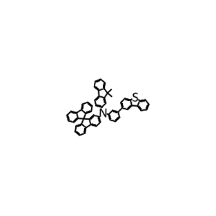 CC1(C)c2ccccc2-c2ccc(N(c3cccc(-c4ccc5sc6ccccc6c5c4)c3)c3ccc4c(c3)C3(c5ccccc5-c5ccccc53)c3ccccc3-4)cc21